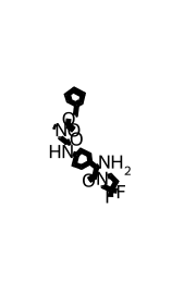 CN(CC(=O)NC1CCC(C(N)C(=O)N2CCC(F)(F)C2)CC1)C(=O)OCc1ccccc1